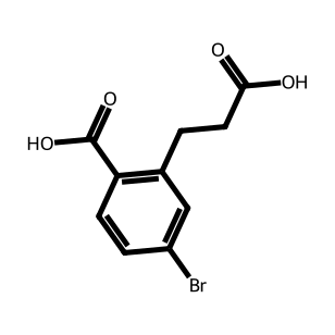 O=C(O)CCc1cc(Br)ccc1C(=O)O